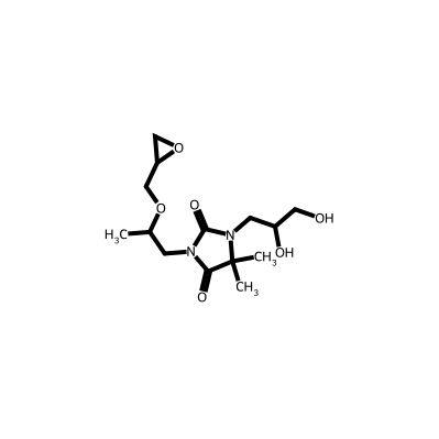 CC(CN1C(=O)N(CC(O)CO)C(C)(C)C1=O)OCC1CO1